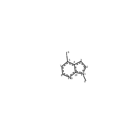 Cn1ccc2c(I)ccnc21